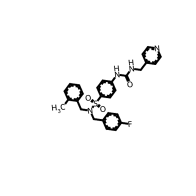 Cc1ccccc1CN(Cc1ccc(F)cc1)S(=O)(=O)c1ccc(NC(=O)NCc2ccncc2)cc1